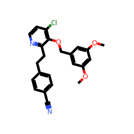 COc1cc(COc2c(Cl)ccnc2CCc2ccc(C#N)cc2)cc(OC)c1